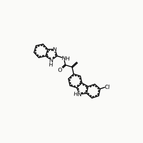 C=C(C(=O)Nc1nc2ccccc2[nH]1)c1ccc2[nH]c3ccc(Cl)cc3c2c1